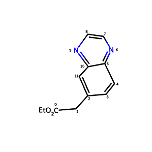 CCOC(=O)Cc1ccc2nccnc2c1